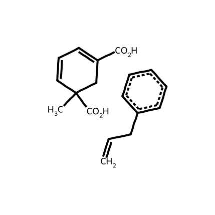 C=CCc1ccccc1.CC1(C(=O)O)C=CC=C(C(=O)O)C1